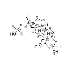 COC[C@]12CC[C@](C)(O)CC1=CC[C@@H]1[C@@H]2CC[C@]2(C)C([C@H](C)CCC(C)(C)O)CC[C@@H]12